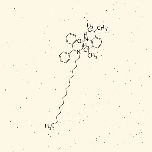 CCCCCCCCCCCCCCCCN(CC(=O)Nc1c(C(C)C)cccc1C(C)C)C(c1ccccc1)c1ccccc1